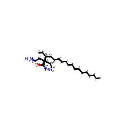 CCCCCCCCCCCCCCCC(CC)C(CC)(CCN)C(N)=O